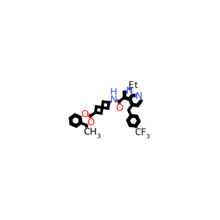 CCn1cc(C(=O)NC2CC3(C2)CC(C(=O)OC(C)c2ccccc2)C3)c2c(Cc3ccc(C(F)(F)F)cc3)ccnc21